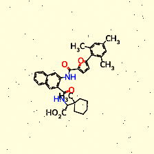 Cc1cc(C)c(-c2ccc(C(=O)Nc3cc4ccccc4cc3C(=O)N[C@H](C(=O)O)C3(C)CCCCC3)o2)c(C)c1